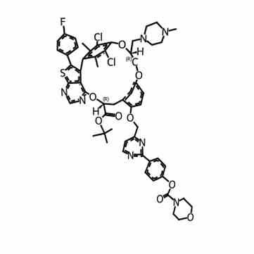 Cc1c(Cl)c2c(Cl)c(C)c1-c1c(-c3ccc(F)cc3)sc3ncnc(c13)O[C@@H](C(=O)OC(C)(C)C)Cc1cc(ccc1OCc1ccnc(-c3ccc(OC(=O)N4CCOCC4)cc3)n1)OC[C@@H](CN1CCN(C)CC1)O2